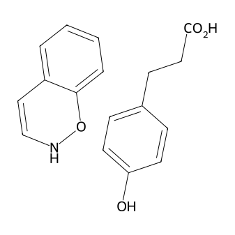 C1=Cc2ccccc2ON1.O=C(O)CCc1ccc(O)cc1